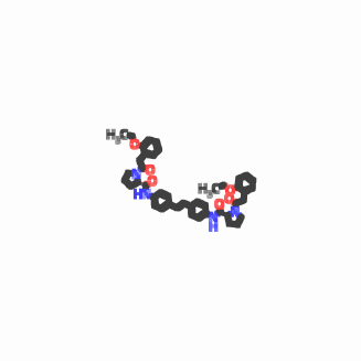 CCOc1ccccc1CC(=O)N1CCC[C@H]1C(=O)Nc1ccc(/C=C/c2ccc(NC(=O)[C@@H]3CCCN3C(=O)Cc3ccccc3OCC)cc2)cc1